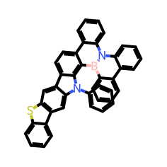 c1ccc(-n2c3cc4c(cc3c3ccc5c(c32)B2c3ccccc3-c3ccccc3N2c2ccccc2-5)sc2ccccc24)cc1